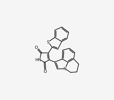 O=C1NC(=O)C(c2cn3c4c(cccc24)CCC3)=C1c1cc2ccccc2s1